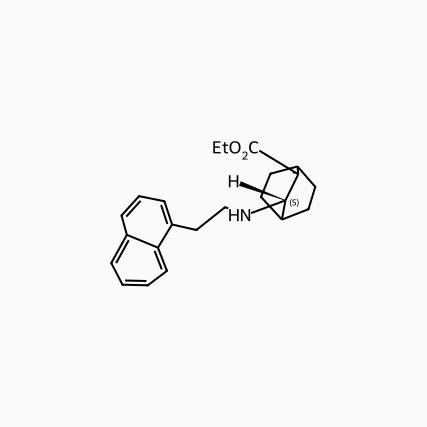 CCOC(=O)C1=C2CCC(CC2)[C@@H]1NCCc1cccc2ccccc12